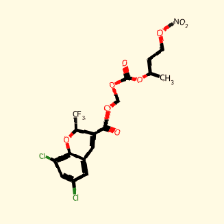 CC(CCO[N+](=O)[O-])OC(=O)OCOC(=O)C1=Cc2cc(Cl)cc(Cl)c2OC1C(F)(F)F